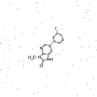 Cn1c(=O)[nH]c2cc(-c3cccc(F)c3)cnc21